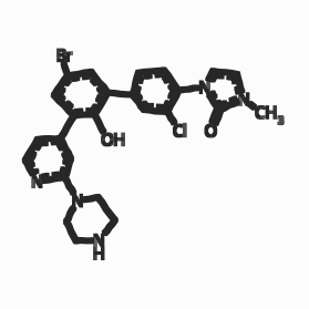 Cn1ccn(-c2ccc(-c3cc(Br)cc(-c4ccnc(N5CCNCC5)c4)c3O)cc2Cl)c1=O